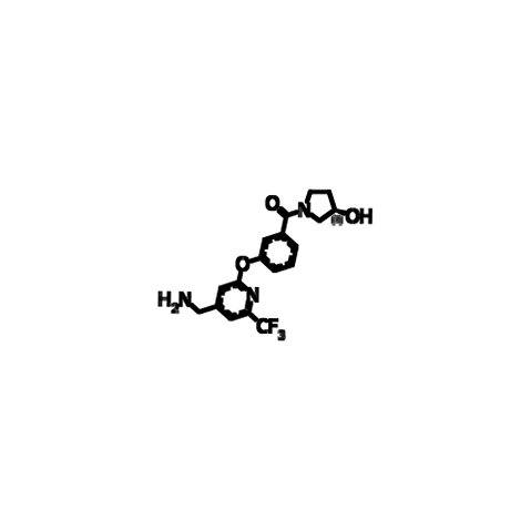 NCc1cc(Oc2cccc(C(=O)N3CC[C@@H](O)C3)c2)nc(C(F)(F)F)c1